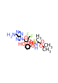 CC(C)OC(=O)[C@H](C)NP(=S)(OC[C@@]1(C(F)F)O[C@@H](n2cnc3c(N)ncnc32)[C@H](O)[C@@H]1O)Oc1ccccc1